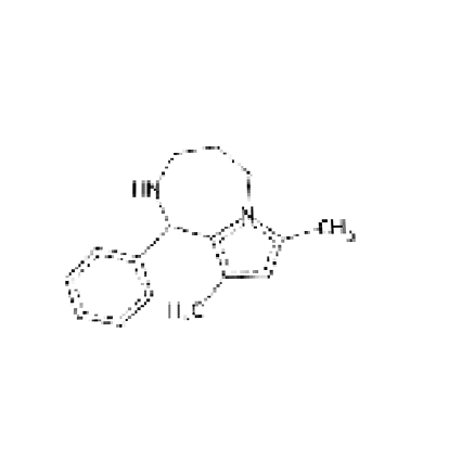 Cc1cc(C)n2c1C(c1ccccc1)NCCC2